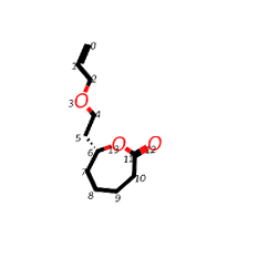 C=CCOCC[C@H]1CCCCC(=O)O1